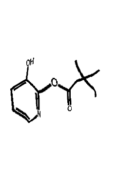 CC(C)(C)C(=O)Oc1ncccc1O